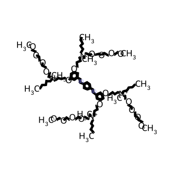 CCCCCC[N+](C)(CCCCOc1cc(/C=C/c2ccc(/C=C/c3cc(OCCCC[N+](C)(CCCCCC)CCOCCOCCOCCOC)cc(OCCCC[N+](C)(CCCCCC)CCOCCOCCOCCOC)c3)cc2)cc(OCCCC[N+](C)(CCCCCC)CCOCCOCCOCCOC)c1)CCOCCOCCOCCOC